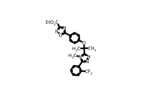 CCOC(=O)c1noc(-c2ccc(OC(C)(C)c3nnc(-c4ccccc4C(F)(F)F)n3C)cc2)n1